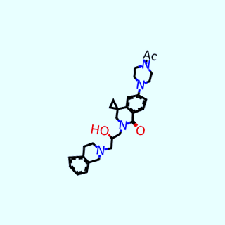 CC(=O)N1CCN(c2ccc3c(c2)C2(CC2)CN(CC(O)CN2CCc4ccccc4C2)C3=O)CC1